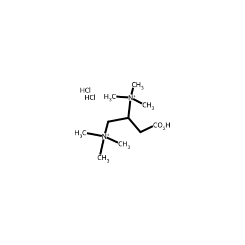 C[N+](C)(C)CC(CC(=O)O)[N+](C)(C)C.Cl.Cl